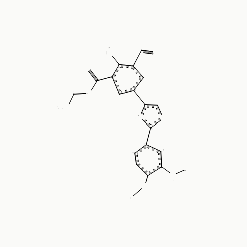 C=Cc1cc(-c2csc(-c3ccc(OCC)c(OCC)c3)n2)cc(C(=O)OCOC)c1O